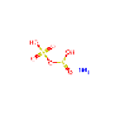 N.O=S(O)OS(=O)(=O)O